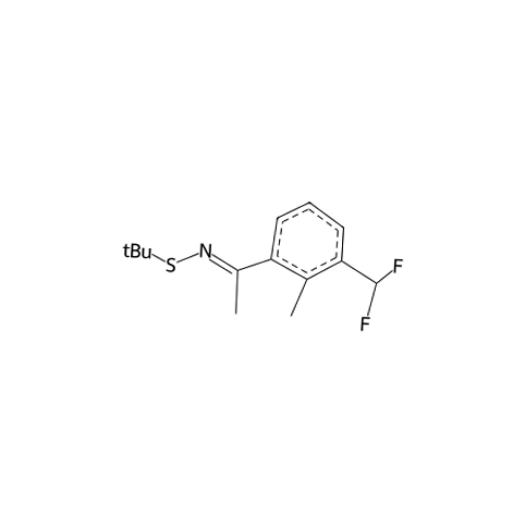 C/C(=N\SC(C)(C)C)c1cccc(C(F)F)c1C